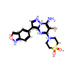 Nc1c(Br)c(N2CCS(=O)(=O)CC2)nc2c(-c3ccc4nocc4c3)cnn12